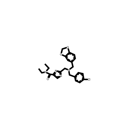 CCN(CC)C(=O)c1csc(CN(Cc2ccc(Cl)cc2)Cc2ccc3c(c2)OCO3)n1